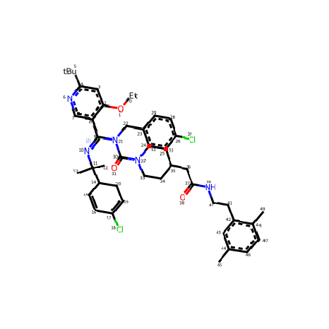 CCOc1cc(C(C)(C)C)ncc1/C(=N/C(C)(C)C1C=CC(Cl)=CC1)N(Cc1ccc(Cl)cc1)C(=O)N1CCC(CC(=O)NCCc2cc(C)ccc2C)CC1